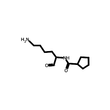 NCCCCC([C]=O)NC(=O)C1CCCC1